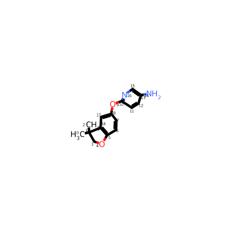 CC1(C)COc2ccc(Oc3ccc(N)cn3)cc21